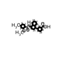 COc1cc(C)ccc1[S+]([O-])Nc1ccc(-c2cccc(C(=O)O)c2)c2ccccc12